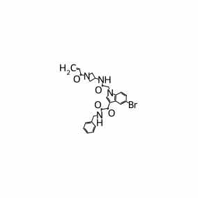 C=CC(=O)N1CC(NC(=O)Cn2cc(C(=O)C(=O)NCc3ccccc3)c3cc(Br)ccc32)C1